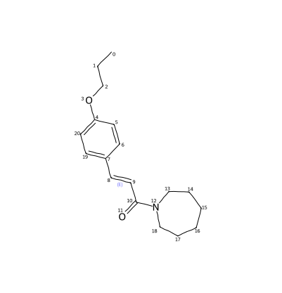 CCCOc1ccc(/C=C/C(=O)N2CCCCCC2)cc1